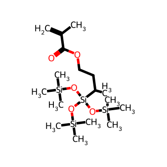 C=C(C)C(=O)OCCC(C)[Si](O[Si](C)(C)C)(O[Si](C)(C)C)O[Si](C)(C)C